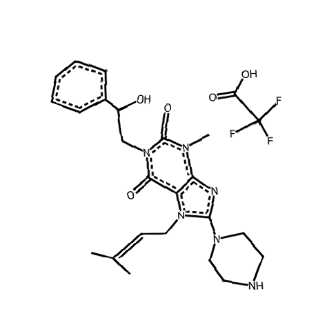 CC(C)=CCn1c(N2CCNCC2)nc2c1c(=O)n(CC(O)c1ccccc1)c(=O)n2C.O=C(O)C(F)(F)F